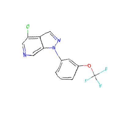 FC(F)(F)Oc1cccc(-n2ncc3c(Cl)cncc32)c1